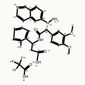 COc1ccc([C@H](C(=O)NC(CC(=O)O)c2ccccc2F)N(N)c2ccc3cnccc3c2)cc1OC.O=C(O)C(F)(F)F